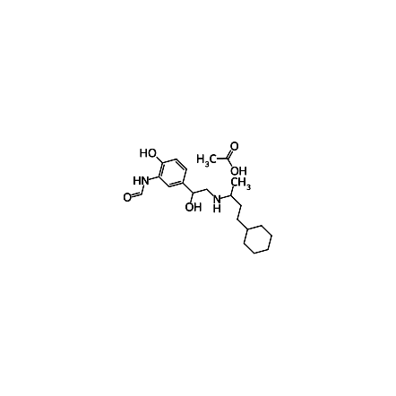 CC(=O)O.CC(CCC1CCCCC1)NCC(O)c1ccc(O)c(NC=O)c1